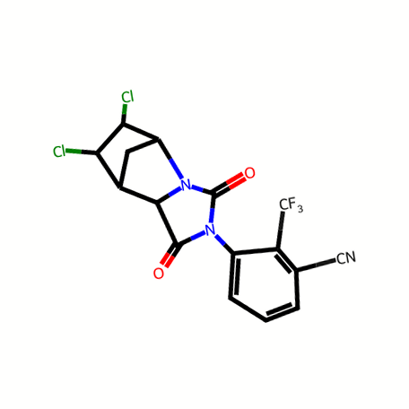 N#Cc1cccc(N2C(=O)C3C4CC(C(Cl)C4Cl)N3C2=O)c1C(F)(F)F